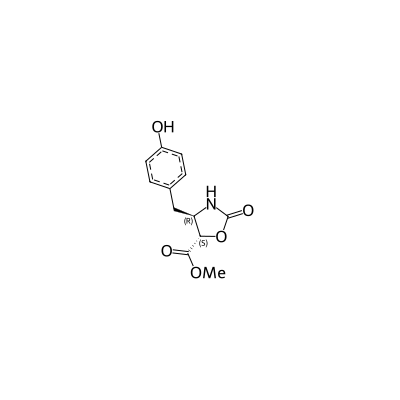 COC(=O)[C@H]1OC(=O)N[C@@H]1Cc1ccc(O)cc1